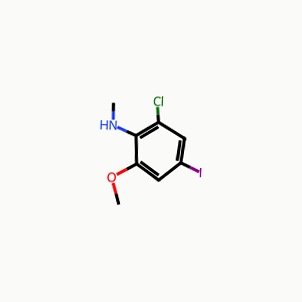 CNc1c(Cl)cc(I)cc1OC